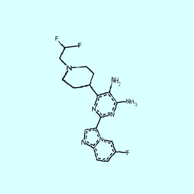 Nc1nc(-c2cnc3ccc(F)cn23)nc(C2CCN(CC(F)F)CC2)c1N